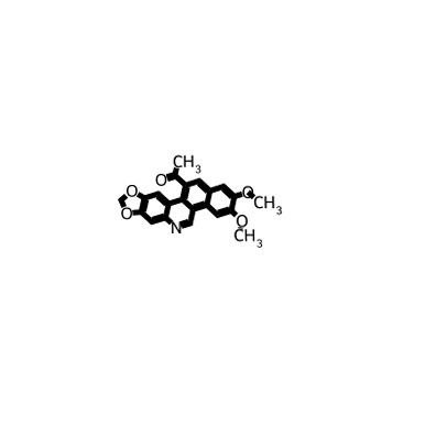 COc1cc2cc(C(C)=O)c3c4cc5c(cc4ncc3c2cc1OC)OCO5